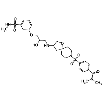 CNS(=O)(=O)c1cccc(OCC(O)CNC2COC3(CCN(S(=O)(=O)c4ccc(C(=O)N(C)C)cc4)CC3)C2)c1